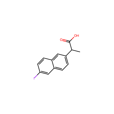 CC(C(=O)O)c1ccc2cc(I)ccc2c1